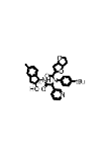 Cc1ccc2c(c1)C[C@H](O)[C@@H]2NC(=O)C(c1cccnc1)N(C(=O)C1CC2OCCC2O1)c1ccc(C(C)(C)C)cc1